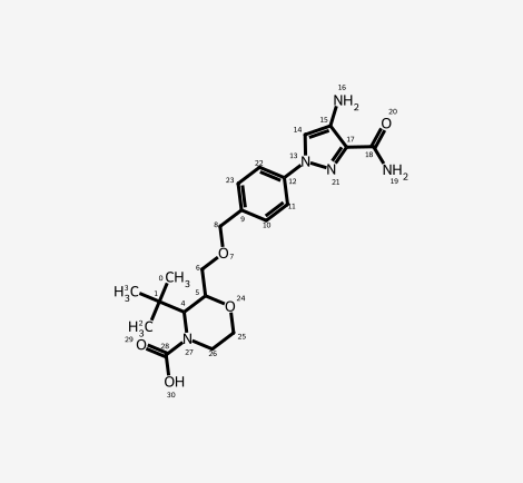 CC(C)(C)C1C(COCc2ccc(-n3cc(N)c(C(N)=O)n3)cc2)OCCN1C(=O)O